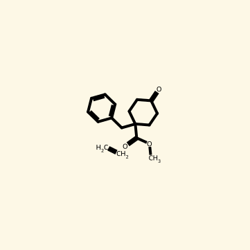 C=C.COC(=O)C1(Cc2ccccc2)CCC(=O)CC1